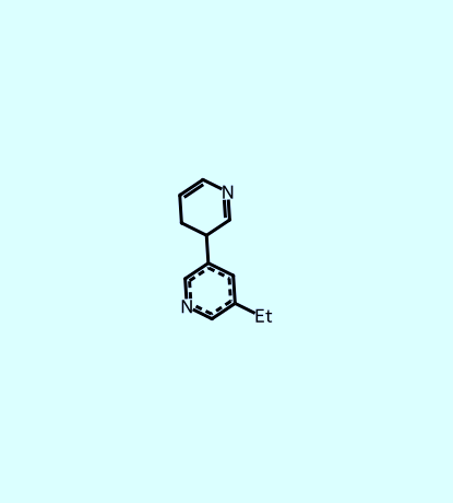 CCc1cncc(C2C=NC=CC2)c1